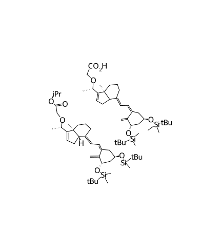 C=C1C(=CC=C2CCC[C@]3(C)C([C@H](C)OCC(=O)O)=CCC23)C[C@@H](O[Si](C)(C)C(C)(C)C)C[C@@H]1O[Si](C)(C)C(C)(C)C.C=C1C(=CC=C2CCC[C@]3(C)C([C@H](C)OCC(=O)OC(C)C)=CC[C@@H]23)C[C@@H](O[Si](C)(C)C(C)(C)C)C[C@@H]1O[Si](C)(C)C(C)(C)C